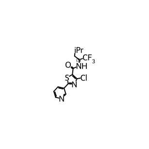 CC(C)C[C@H](NC(=O)c1sc(-c2cccnc2)nc1Cl)C(F)(F)F